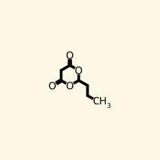 CCCC1OC(=O)CC(=O)O1